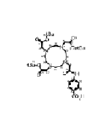 CC(C)(C)OC(=O)CN1CCN(CC(=O)Nc2ccc(C(=O)O)cc2)CCN(CC(=O)OC(C)(C)C)CCN(CC(=O)OC(C)(C)C)CC1